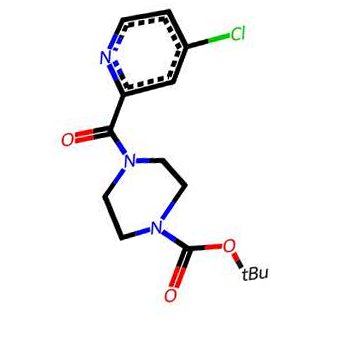 CC(C)(C)OC(=O)N1CCN(C(=O)c2cc(Cl)ccn2)CC1